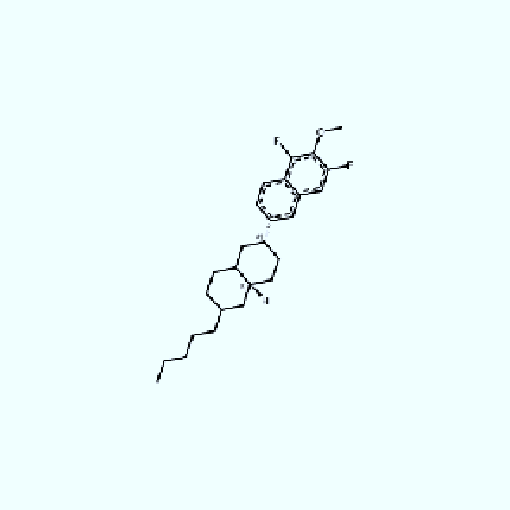 CCCCCC1CCC2C[C@H](c3ccc4c(F)c(OC)c(F)cc4c3)CC[C@@H]2C1